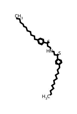 CCCCCCCCCCCCc1ccc(C(=S)CCNCCC(=S)c2ccc(CCCCCCCCCCCC)cc2)cc1